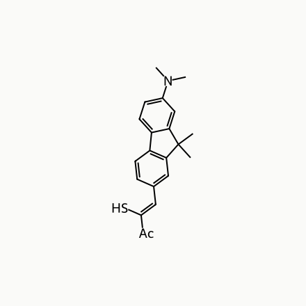 CC(=O)/C(S)=C/c1ccc2c(c1)C(C)(C)c1cc(N(C)C)ccc1-2